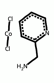 NCc1ccccn1.[Cl][Co][Cl]